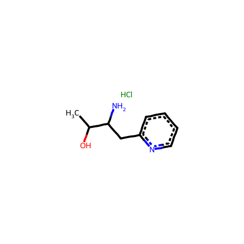 CC(O)C(N)Cc1ccccn1.Cl